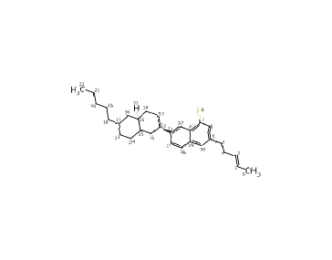 C/C=C/CCc1cc(F)c2cc([C@@H]3CC[C@@H]4CC(CCCCC)CCC4C3)ccc2c1